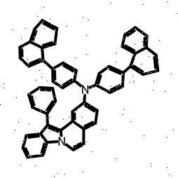 c1ccc(-c2c3ccccc3n3ccc4ccc(N(c5ccc(-c6cccc7ccccc67)cc5)c5ccc(-c6cccc7ccccc67)cc5)cc4c23)cc1